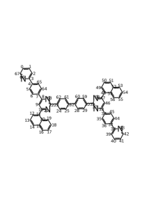 c1ccc(-c2ccc(-c3cc(-c4cccc5ccccc45)nc(-c4ccc(-c5ccc(-c6nc(-c7ccc(-c8ccccn8)cc7)cc(-c7cccc8ccccc78)n6)cc5)cc4)n3)cc2)nc1